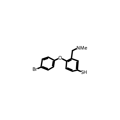 CNCc1cc(S)ccc1Oc1ccc(Br)cc1